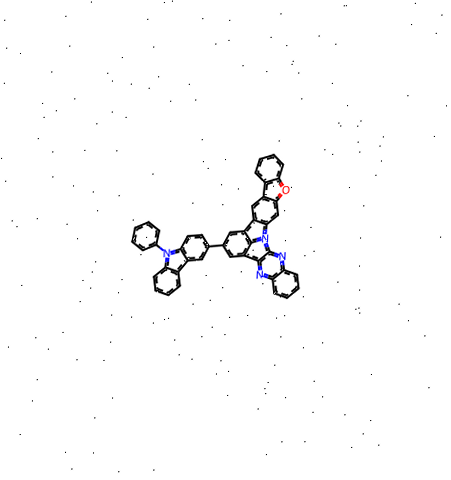 c1ccc(-n2c3ccccc3c3cc(-c4cc5c6cc7c(cc6n6c8nc9ccccc9nc8c(c4)c56)oc4ccccc47)ccc32)cc1